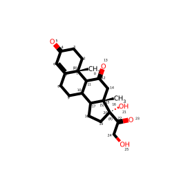 C[C@]12CCC(=O)C=C1CCC1C2C(=O)C[C@@]2(C)C1CC[C@]2(O)C(=O)CO